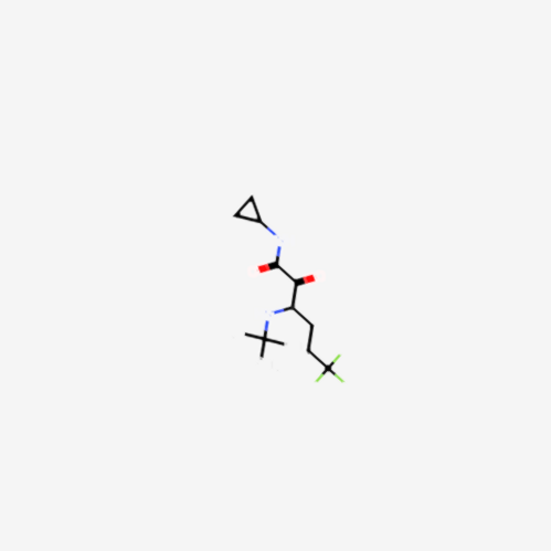 CC(C)(C)NC(CCC(F)(F)F)C(=O)C(=O)NC1CC1